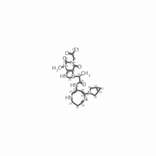 CCC(=O)Cn1c(=O)c2c(n(C)c1=O)NCN2[C@@H](C)C(=O)NC1=CNCC/C=N\C(N2CC3CC3C2)=C1